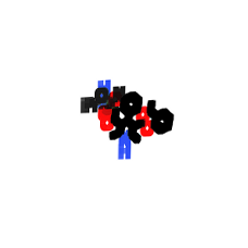 CC1=C(C(=O)CS(=O)(=O)NC(C)C)C(c2cccc([N+](=O)[O-])c2)C(C(=O)OC(C)c2ccccc2)=C(C)N1